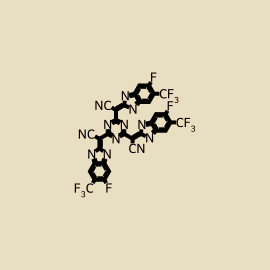 N#CC(=C1N=c2cc(F)c(C(F)(F)F)cc2=N1)c1nc(C(C#N)=C2N=c3cc(F)c(C(F)(F)F)cc3=N2)nc(C(C#N)=C2N=c3cc(F)c(C(F)(F)F)cc3=N2)n1